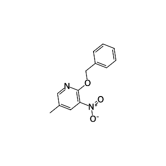 Cc1cnc(OCc2ccccc2)c([N+](=O)[O-])c1